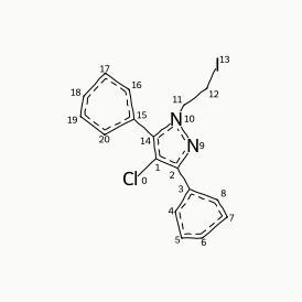 Clc1c(-c2ccccc2)nn(CCI)c1-c1ccccc1